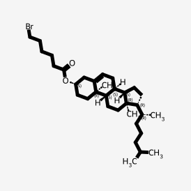 CC(C)CCC[C@@H](C)[C@H]1CC[C@H]2[C@@H]3CC=C4C[C@@H](OC(=O)CCCCCBr)CC[C@]4(C)[C@H]3CC[C@]12C